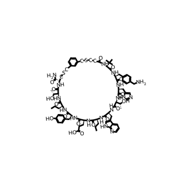 CCC[C@@H]1NC(=O)[C@H](Cc2c[nH]c3ncccc23)NC(=O)[C@H]([C@@H](C)O)NC(=O)[C@H](Cc2cnc[nH]2)NC(=O)[C@H](Cc2ccc(CN)cc2)NC(=O)[C@H](C(C)(C)C)NC(=O)CCSCc2cccc(c2)CSC[C@@H](C(N)=O)NC(=O)[C@H]([C@@H](C)O)NC(=O)[C@H](CCC)NC(=O)[C@H](Cc2ccc(O)cc2)NC(=O)[C@H](CCC(=O)O)NC1=O